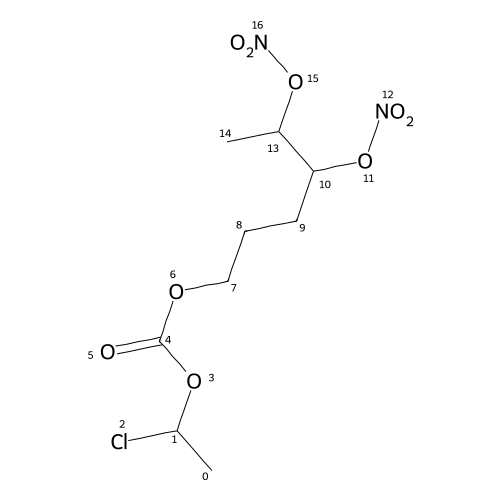 CC(Cl)OC(=O)OCCCC(O[N+](=O)[O-])C(C)O[N+](=O)[O-]